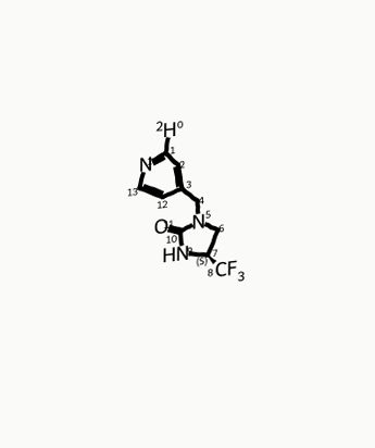 [2H]c1cc(CN2C[C@@H](C(F)(F)F)NC2=O)ccn1